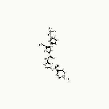 Cc1oc(C(=O)Nc2nc(CC(C)N3CCN(C)CC3)ns2)cc1-c1cccc(OC(F)F)c1